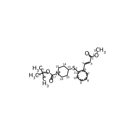 COC(=O)/C=C/c1ccccc1SC1CCN(C(=O)OC(C)(C)C)CC1